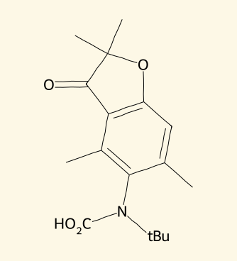 Cc1cc2c(c(C)c1N(C(=O)O)C(C)(C)C)C(=O)C(C)(C)O2